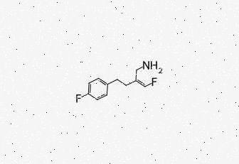 NC/C(=C\F)CCc1ccc(F)cc1